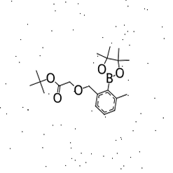 Cc1cccc(COCC(=O)OC(C)(C)C)c1B1OC(C)(C)C(C)(C)O1